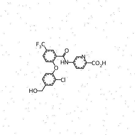 O=C(O)c1ccc(NC(=O)c2cc(C(F)(F)F)ccc2Oc2ccc(CO)cc2Cl)cn1